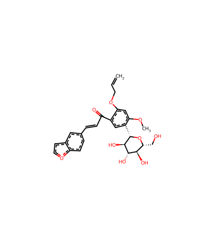 C=CCOc1cc(OC)c([C@@H]2O[C@H](CO)[C@@H](O)[C@H](O)[C@H]2O)cc1C(=O)C=Cc1ccc2occc2c1